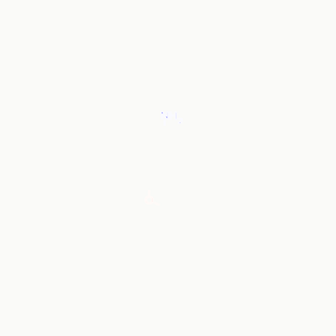 Cc1ccc(Oc2ccc(CCN)cc2)cc1